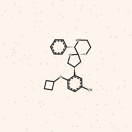 N#Cc1ccc(OC2CCC2)c([C@H]2CO[C@]3(CCCN[C@H]3c3ccccc3)C2)c1